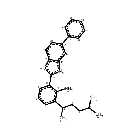 CC(N)CCC(C)c1cccc(-c2nc3cc(-c4ccccc4)ccc3o2)c1N